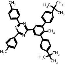 Cc1ccc(-c2nc(-c3ccc(C)cc3)nc(-c3cc(-c4ccc(C(C)(C)C)cc4)c(C)c(-c4ccc(C(C)(C)C)cc4)c3)n2)cc1